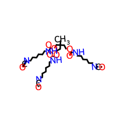 CCC(CCOC(=O)NCCCCCCN=C=O)(CCOC(=O)NCCCCCCN=C=O)COC(=O)NCCCCCCN=C=O